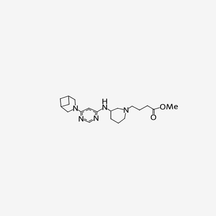 COC(=O)CCCN1CCCC(Nc2cc(N3CC4CC(C4)C3)ncn2)C1